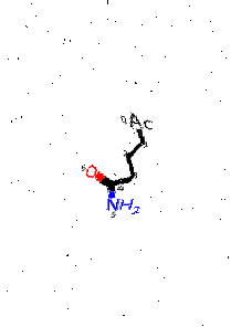 CC(=O)CCCC(N)=O